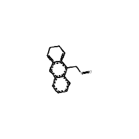 O=NCc1c2c(cc3ccccc13)=CCCC=2